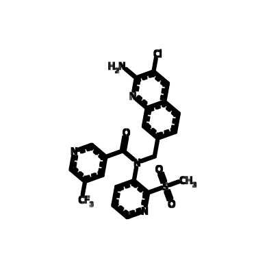 CS(=O)(=O)c1ncccc1N(Cc1ccc2cc(Cl)c(N)nc2c1)C(=O)c1cncc(C(F)(F)F)c1